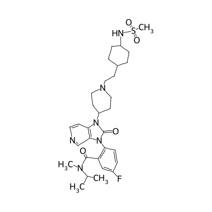 CC(C)N(C)C(=O)c1cc(F)ccc1-n1c(=O)n(C2CCN(CCC3CCC(NS(C)(=O)=O)CC3)CC2)c2ccncc21